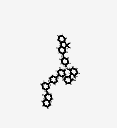 CC1(C)c2ccccc2-c2ccc(-c3ccc(N(c4ccc(-c5ccc(-c6cccc(-c7ccc8ccccc8c7)c6)cc5)cc4)c4cccc5oc6ccccc6c45)cc3)cc21